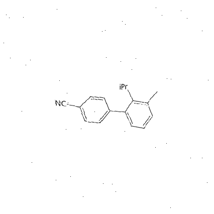 Cc1cccc(-c2ccc(C#N)cc2)c1C(C)C